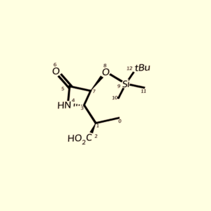 C[C@@H](C(=O)O)[C@@H]1NC(=O)[C@H]1O[Si](C)(C)C(C)(C)C